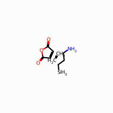 C=C.NCCC[SiH3].O=C1C=CC(=O)O1